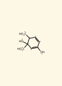 O=C(O)C1C=CC(O)=CC1(O)C(=O)O